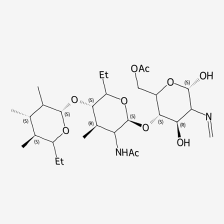 C=NC1[C@@H](O)[C@H](O[C@@H]2OC(CC)[C@@H](O[C@@H]3OC(CC)[C@@H](C)[C@H](C)C3C)[C@H](C)C2NC(C)=O)C(COC(C)=O)O[C@@H]1O